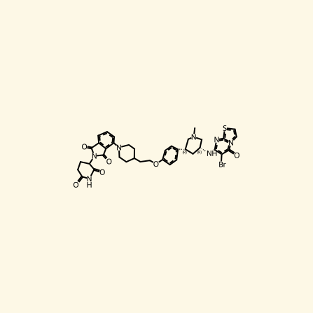 CN1C[C@H](Nc2nc3sccn3c(=O)c2Br)C[C@H](c2ccc(OCCC3CCN(c4cccc5c4C(=O)N(C4CCC(=O)NC4=O)C5=O)CC3)cc2)C1